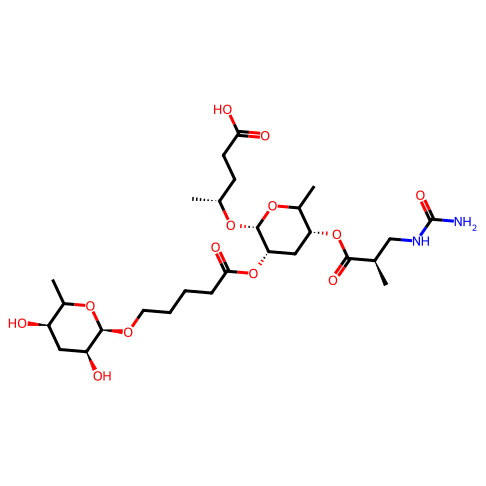 CC1O[C@@H](OCCCCC(=O)O[C@H]2C[C@@H](OC(=O)[C@H](C)CNC(N)=O)C(C)O[C@H]2O[C@H](C)CCC(=O)O)[C@@H](O)C[C@H]1O